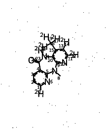 [2H]c1ccc2c(n1)N(C)c1nc([2H])c([2H])c(C([2H])([2H])[2H])c1N([2H])C2=O